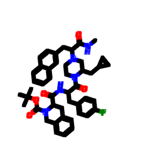 CNC(=O)C(Cc1ccc2ccccc2c1)N1CCN(C(=O)C(Cc2ccc(F)cc2)NC(=O)C2Cc3ccccc3CN2C(=O)OC(C)(C)C)C(CC2CC2)C1